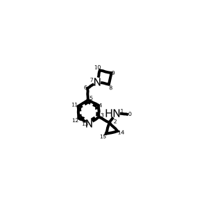 CNC1(c2cc(CN3CCC3)ccn2)CC1